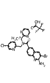 C[C@H](c1ncccn1)N(Cc1ccc(Cl)cn1)C(=O)c1ccc2nc(N)c(Br)cc2c1.O=C(O)C(F)(F)F